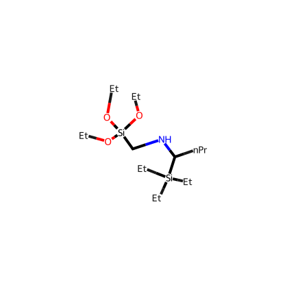 CCCC(NC[Si](OCC)(OCC)OCC)[Si](CC)(CC)CC